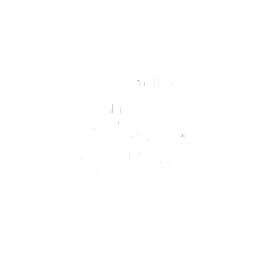 CCCCCCCC(CCC)c1cccc(O)c1C(C)(C)c1ccccc1